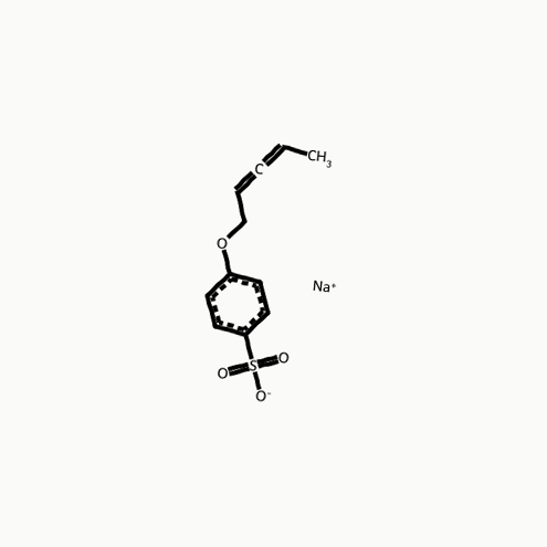 CC=C=CCOc1ccc(S(=O)(=O)[O-])cc1.[Na+]